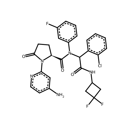 Nc1ccnc(N2C(=O)CC[C@H]2C(=O)N(c2cccc(F)c2)C(C(=O)NC2CC(F)(F)C2)c2ccccc2Cl)c1